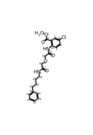 COC(=O)c1cc(Cl)ccc1NC(=O)COCC(=O)NCCCCc1ccccc1